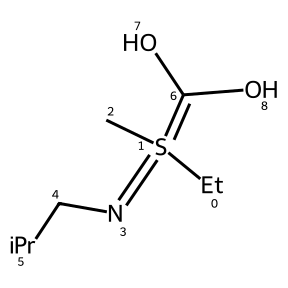 CCS(C)(=NCC(C)C)=C(O)O